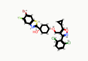 O[C@]1(c2nc3cc(F)c(Br)cc3s2)CC[C@H](OCc2c(-c3c(Cl)cccc3Cl)noc2C2CC2)CC1